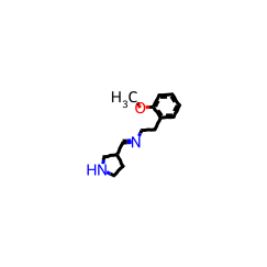 COc1ccccc1CCN=CC1CCNC1